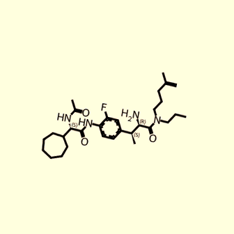 C=C(C)CCCN(CCC)C(=O)[C@H](N)[C@@H](C)c1ccc(NC(=O)[C@@H](NC(C)=O)C2CCCCCC2)c(F)c1